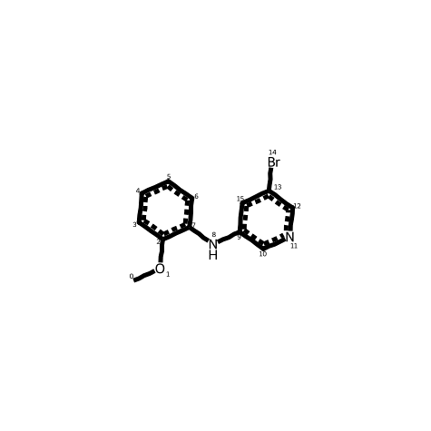 COc1ccccc1Nc1cncc(Br)c1